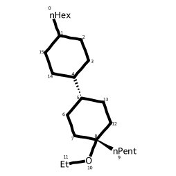 CCCCCCC1CCC([C@H]2CC[C@@](CCCCC)(OCC)CC2)CC1